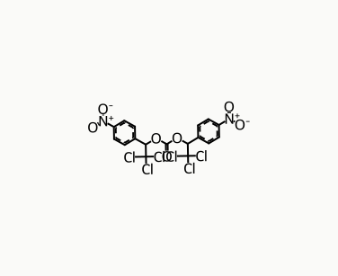 O=C(OC(c1ccc([N+](=O)[O-])cc1)C(Cl)(Cl)Cl)OC(c1ccc([N+](=O)[O-])cc1)C(Cl)(Cl)Cl